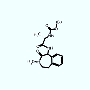 C[C@H](NC(=O)OC(C)(C)C)C(=O)NC1C(=O)N(C)CCc2ccccc21